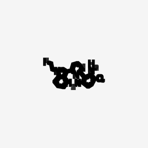 COc1ccc(N)c(-c2nccc(-c3cn(CCF)c4ccccc34)n2)c1N